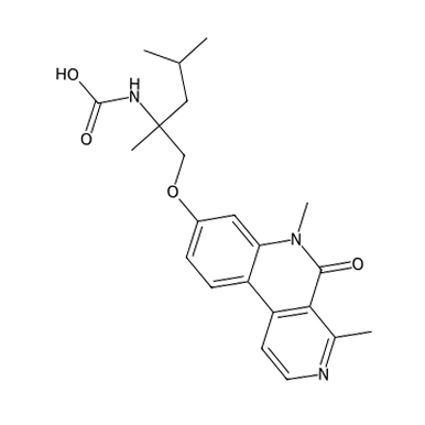 Cc1nccc2c1c(=O)n(C)c1cc(OCC(C)(CC(C)C)NC(=O)O)ccc21